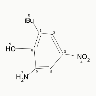 CCC(C)c1cc([N+](=O)[O-])cc(N)c1O